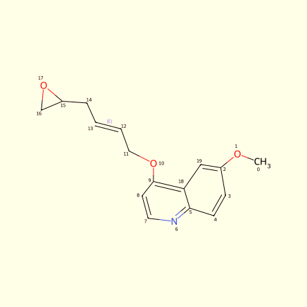 COc1ccc2nccc(OC/C=C/CC3CO3)c2c1